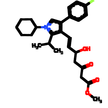 COC(=O)CC(=O)CC(O)/C=C/c1c(-c2ccc(F)cc2)cn(C2CCCCC2)c1C(C)C